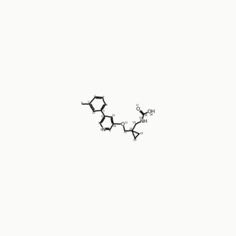 Cc1cccc(-c2cncc(OCC3(CNC(=O)O)CC3)c2)c1